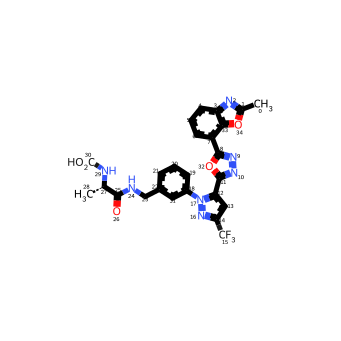 Cc1nc2cccc(-c3nnc(-c4cc(C(F)(F)F)nn4-c4cccc(CNC(=O)[C@H](C)NC(=O)O)c4)o3)c2o1